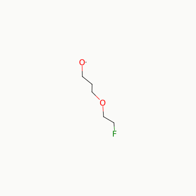 [O]CCCOCCF